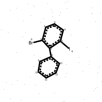 Brc1cccc(I)c1-c1ccccc1